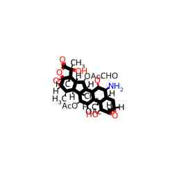 CC(=O)O[C@H]1[C@@H]2[C@H]([C@H](C)[C@H]3O[C@]34OC(=O)[C@@](C)(O)[C@]24C)[C@]2(C)[C@@H]1C1C([C@H](OC(C)=O)[C@@H]2OC(C)=O)[C@]2(C)[C@H](C[C@@H]3O[C@@H]3[C@@H]2O)[C@H](N)[C@@H]1OC=O